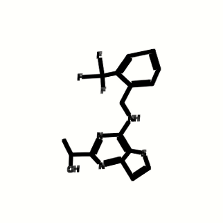 CC(O)c1nc(NCc2ccccc2C(F)(F)F)c2sccc2n1